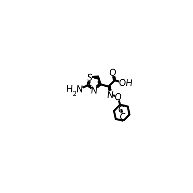 Nc1nc(C(=NOC23CCC(CC2)CC3)C(=O)O)cs1